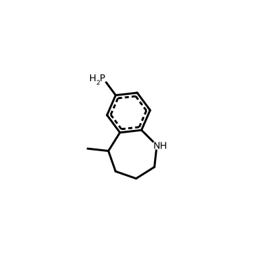 CC1CCCNc2ccc(P)cc21